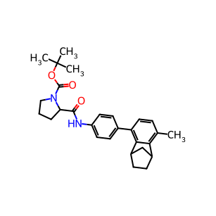 Cc1ccc(-c2ccc(NC(=O)C3CCCN3C(=O)OC(C)(C)C)cc2)c2c1C1CCC2C1